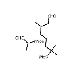 CCCCCCCCCC(C)C=O.COC(C)(C)CCCC(C)CC=O